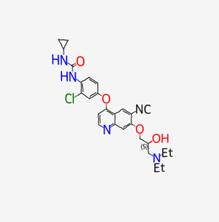 [C-]#[N+]c1cc2c(Oc3ccc(NC(=O)NC4CC4)c(Cl)c3)ccnc2cc1OC[C@@H](O)CN(CC)CC